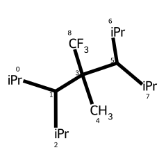 CC(C)C(C(C)C)C(C)(C(C(C)C)C(C)C)C(F)(F)F